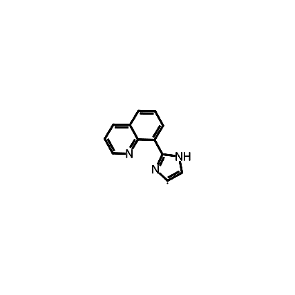 [c]1c[nH]c(-c2cccc3cccnc23)n1